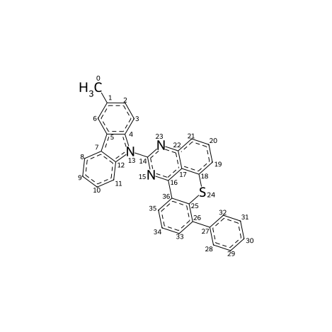 Cc1ccc2c(c1)c1ccccc1n2-c1nc2c3c(cccc3n1)Sc1c(-c3ccccc3)cccc1-2